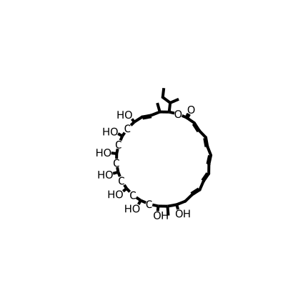 CCC(C)C1OC(=O)/C=C/C=C/C=C/C=C/C=C/CC(O)C(C)C(O)CC(O)CC(O)CC(O)CC(O)CC(O)CC(O)/C=C/C1C